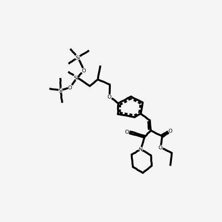 CCOC(=O)/C(=C/c1ccc(OCC(C)C[Si](C)(O[Si](C)(C)C)O[Si](C)(C)C)cc1)C(=O)N1CCCCC1